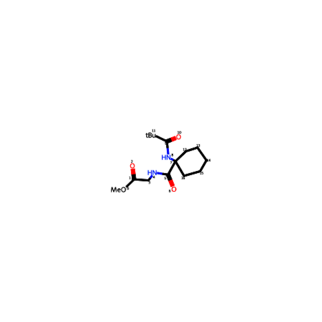 COC(=O)CNC(=O)C1(NC(=O)C(C)(C)C)CCCCC1